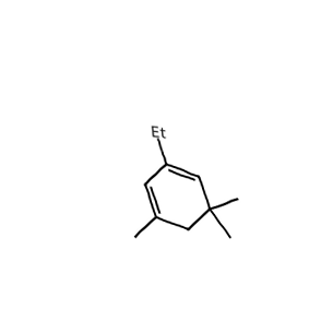 CCC1=CC(C)(C)CC(C)=C1